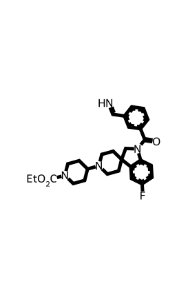 CCOC(=O)N1CCC(N2CCC3(CC2)CN(C(=O)c2cccc(C=N)c2)c2ccc(F)cc23)CC1